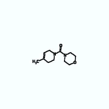 CC1=CCN(C(=O)N2CCOCC2)CC1